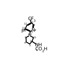 O=C(O)NC1CCCN(c2ncc(C(F)(F)F)cc2F)C1